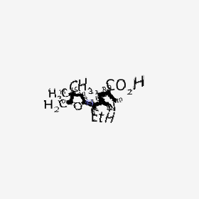 C=C1O/C(=C(\CC)c2cc(C(=O)O)c[nH]2)CC1(C)C